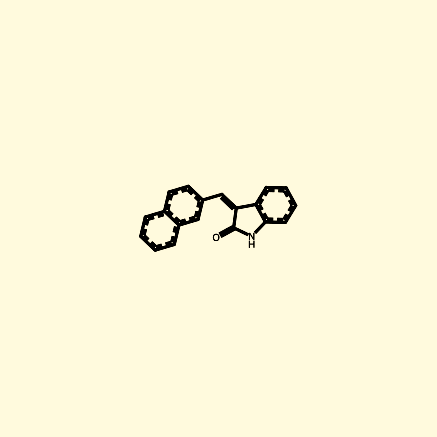 O=C1Nc2ccccc2C1=Cc1ccc2ccccc2c1